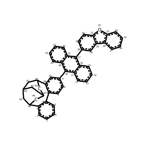 c1ccc2c(c1)-c1ccc(-c3c4ccccc4c(-c4ccc5oc6ccccc6c5c4)c4ccccc34)cc1C1CC3CC(CC2C3)C1